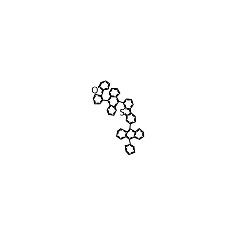 c1ccc(-c2c3ccccc3c(-c3ccc4c(c3)sc3c(-c5c6ccccc6c(-c6cccc7oc8ccccc8c67)c6ccccc56)cccc34)c3ccccc23)cc1